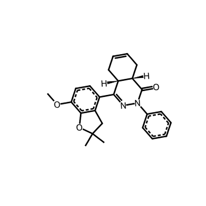 COc1ccc(C2=NN(c3ccccc3)C(=O)[C@H]3CC=CC[C@@H]23)c2c1OC(C)(C)C2